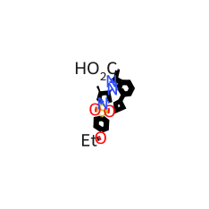 CCOc1ccc(S(=O)(=O)N2C[C@@H](C)[C@@H](n3nc(CC(=O)O)c4cccc(C5CCC5)c43)C2)cc1